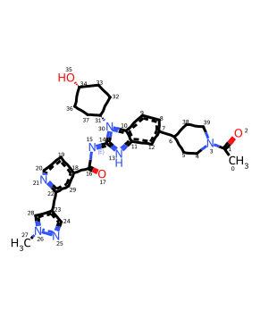 CC(=O)N1CCC(c2ccc3c(c2)[nH]/c(=N\C(=O)c2ccnc(-c4cnn(C)c4)c2)n3[C@H]2CC[C@@H](O)CC2)CC1